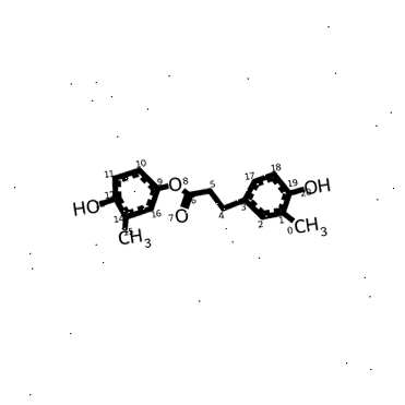 Cc1cc(CCC(=O)Oc2ccc(O)c(C)c2)ccc1O